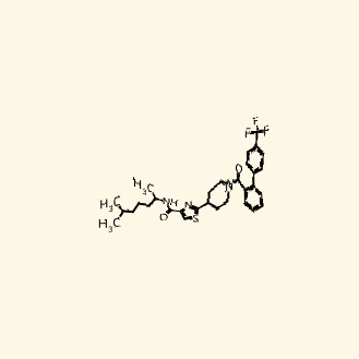 CC(C)CCCC(C)NC(=O)c1csc(C2CCN(C(=O)c3ccccc3-c3ccc(C(F)(F)F)cc3)CC2)n1